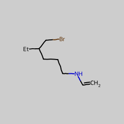 C=CNCCCC(CC)CBr